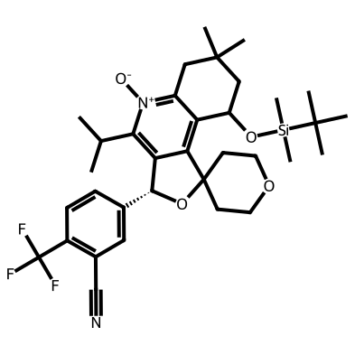 CC(C)c1c2c(c3c([n+]1[O-])CC(C)(C)CC3O[Si](C)(C)C(C)(C)C)C1(CCOCC1)O[C@@H]2c1ccc(C(F)(F)F)c(C#N)c1